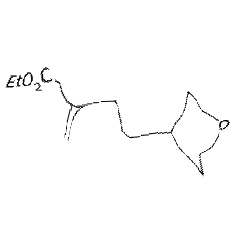 C=C(CCC1COC1)C(=O)OCC